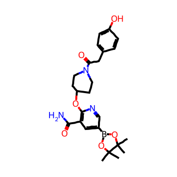 CC1(C)OB(c2cnc(OC3CCN(C(=O)Cc4ccc(O)cc4)CC3)c(C(N)=O)c2)OC1(C)C